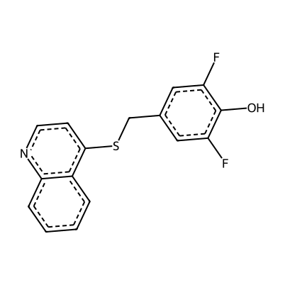 Oc1c(F)cc(CSc2ccnc3ccccc23)cc1F